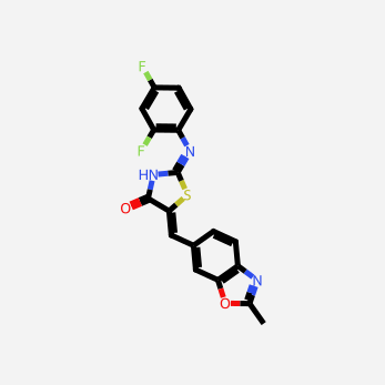 Cc1nc2ccc(/C=C3\S/C(=N/c4ccc(F)cc4F)NC3=O)cc2o1